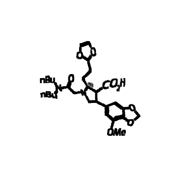 CCCCN(CCCC)C(=O)CN1CC(c2cc(OC)c3c(c2)OCO3)C(C(=O)O)[C@@H]1CCC1OC=CO1